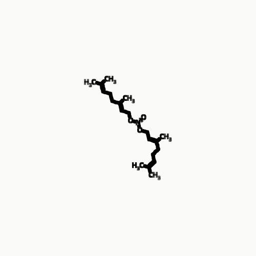 CC(C)=CCC/C(C)=C/CO[N+](=O)OC/C=C(\C)CCC=C(C)C